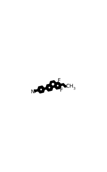 CCCc1c(F)cc2c(c1F)CCc1cc(-c3ccc(C#N)cc3)ccc1-2